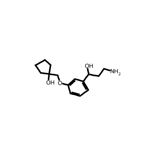 NCCC(O)c1cccc(OCC2(O)CCCC2)c1